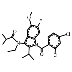 CCN(C(=O)C(C)C)c1c(C(C)C)n(C(=O)c2ccc(Cl)cc2Cl)c2cc(F)c(OC)cc12